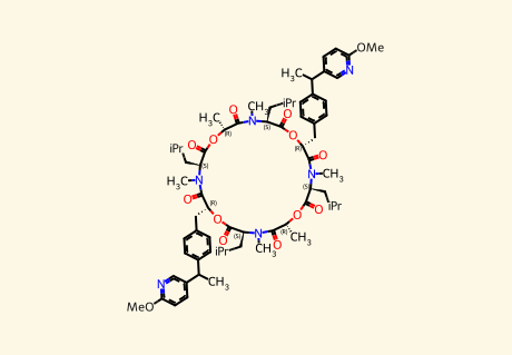 COc1ccc(C(C)c2ccc(C[C@H]3OC(=O)[C@H](CC(C)C)N(C)C(=O)[C@@H](C)OC(=O)[C@H](CC(C)C)N(C)C(=O)[C@@H](Cc4ccc(C(C)c5ccc(OC)nc5)cc4)OC(=O)[C@H](CC(C)C)N(C)C(=O)[C@@H](C)OC(=O)[C@H](CC(C)C)N(C)C3=O)cc2)cn1